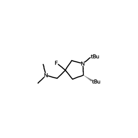 CN(C)CC1(F)C[C@@H](C(C)(C)C)N(C(C)(C)C)C1